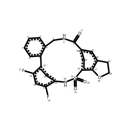 O=C1NCc2ccccc2-c2cc(c(F)cc2F)NS(=O)(=O)c2cc1cc1c2OCC1